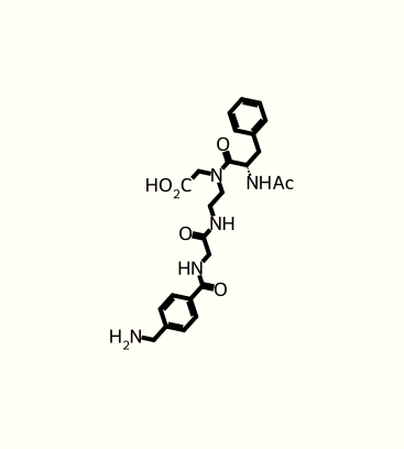 CC(=O)N[C@@H](Cc1ccccc1)C(=O)N(CCNC(=O)CNC(=O)c1ccc(CN)cc1)CC(=O)O